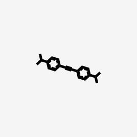 CC(C)c1ccc(C#Cc2ccc(C(C)C)cc2)cc1